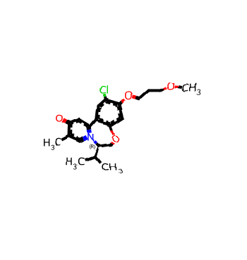 COCCCOc1cc2c(cc1Cl)-c1cc(=O)c(C)cn1[C@H](C(C)C)CO2